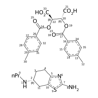 CCCN[C@@H]1CCc2nc(N)sc2C1.Cc1ccc(C(=O)O[C@@H](C(=O)O)[C@@H](OC(=O)c2ccc(C)cc2)C(=O)O)cc1